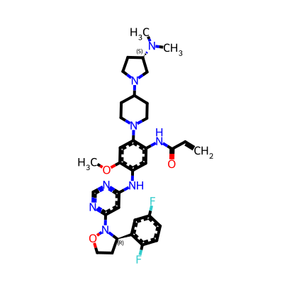 C=CC(=O)Nc1cc(Nc2cc(N3OCC[C@@H]3c3cc(F)ccc3F)ncn2)c(OC)cc1N1CCC(N2CC[C@H](N(C)C)C2)CC1